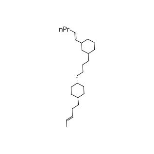 CC=CCC[C@H]1CC[C@H](CCCCC2CCCC(C=CCCC)C2)CC1